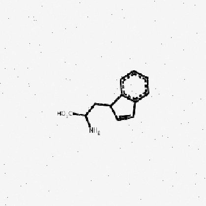 NC(CC1C=Cc2ccccc21)C(=O)O